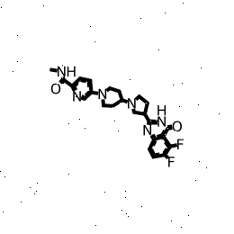 CNC(=O)c1ccc(N2CCC(N3CCC(c4nc5ccc(F)c(F)c5c(=O)[nH]4)C3)CC2)cn1